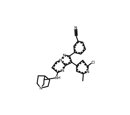 Cc1cc(-c2c(-c3cccc(C#N)c3)nn3ccc(NC4CN5CCC4CC5)nc23)cc(Cl)n1